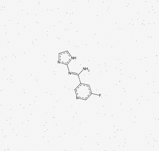 N/C(=N\c1ncc[nH]1)c1cncc(F)c1